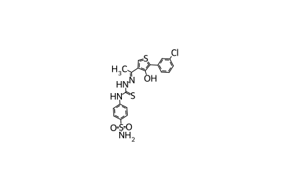 C/C(=N\NC(=S)Nc1ccc(S(N)(=O)=O)cc1)c1csc(-c2cccc(Cl)c2)c1O